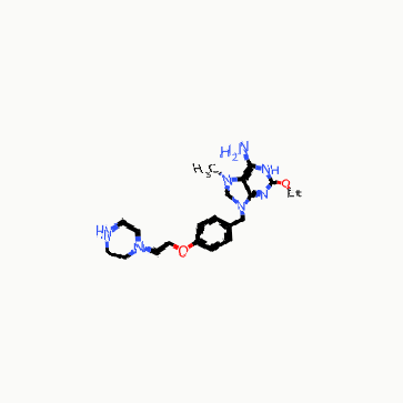 CCOC1N=C2C(=C(N)N1)N(C)CN2Cc1ccc(OCCN2CCNCC2)cc1